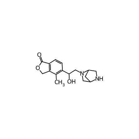 Cc1c(C(O)CN2CC3CC2CN3)ccc2c1COC2=O